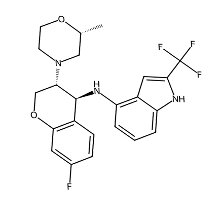 C[C@@H]1CN([C@H]2COc3cc(F)ccc3[C@@H]2Nc2cccc3[nH]c(C(F)(F)F)cc23)CCO1